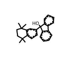 CC1(C)CCC(C)(C)c2cc(C3(O)c4ccccc4-c4ccccc43)ccc21